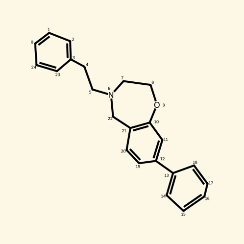 c1ccc(CCN2CCOc3cc(-c4ccccc4)ccc3C2)cc1